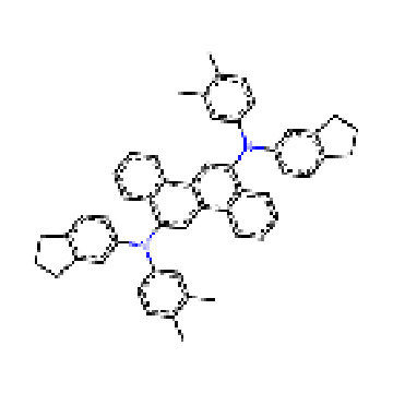 Cc1ccc(N(c2ccc3c(c2)CCC3)c2cc3c4ccccc4c(N(c4ccc(C)c(C)c4)c4ccc5c(c4)CCC5)cc3c3ccccc23)cc1C